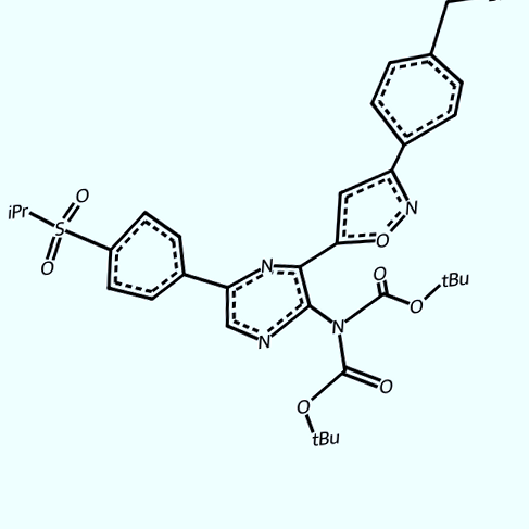 CC(C)S(=O)(=O)c1ccc(-c2cnc(N(C(=O)OC(C)(C)C)C(=O)OC(C)(C)C)c(-c3cc(-c4ccc(CBr)cc4)no3)n2)cc1